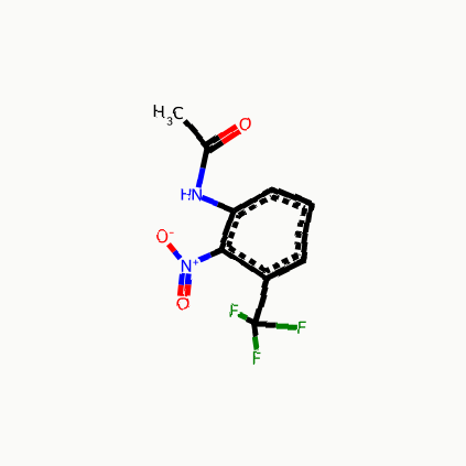 CC(=O)Nc1cccc(C(F)(F)F)c1[N+](=O)[O-]